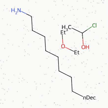 CC(O)Cl.CCCCCCCCCCCCCCCCCCN.CCOCC